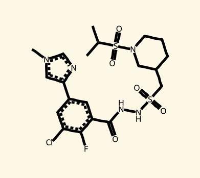 CC(C)S(=O)(=O)N1CCCC(CS(=O)(=O)NNC(=O)c2cc(-c3cn(C)cn3)cc(Cl)c2F)C1